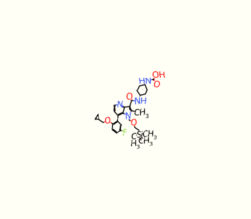 Cc1c(C(=O)N[C@H]2CC[C@@H](NC(=O)O)CC2)c2nccc(-c3cc(F)ccc3OCC3CC3)c2n1COCC[Si](C)(C)C